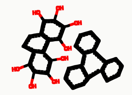 Oc1c(O)c(O)c2c(ccc3c(O)c(O)c(O)c(O)c32)c1O.c1ccc2c(c1)c1ccccc1c1ccccc21